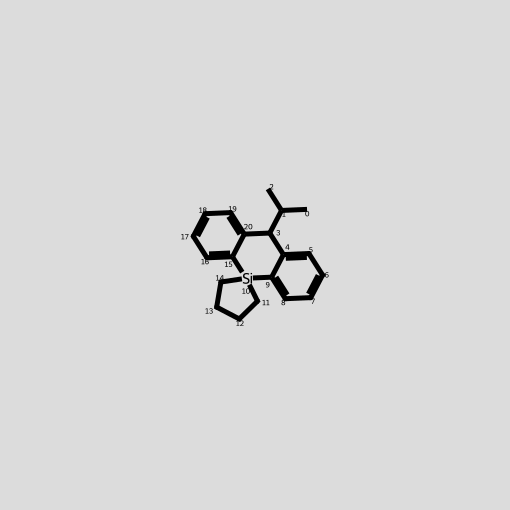 CC(C)C1c2ccccc2[Si]2(CCCC2)c2ccccc21